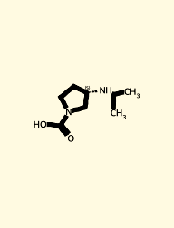 CC(C)N[C@H]1CCN(C(=O)O)C1